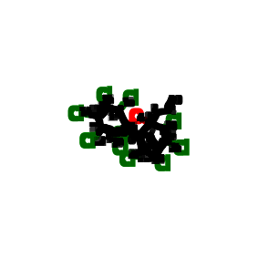 C=CCC1(OC2(CC=C)C(Cl)=C(Cl)C(Cl)=C(Cl)C2Cl)C(Cl)=C(Cl)C(Cl)=C(Cl)C1Cl